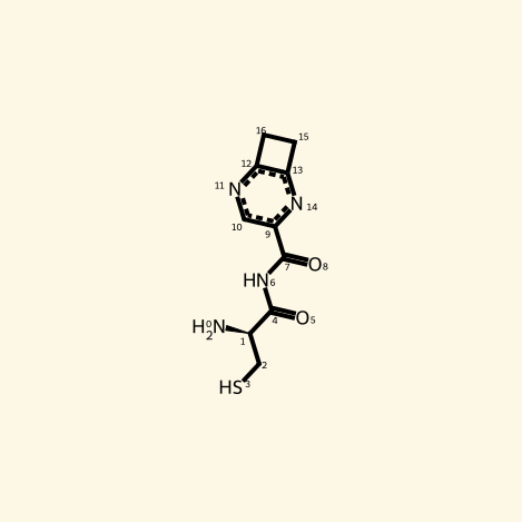 N[C@H](CS)C(=O)NC(=O)c1cnc2c(n1)CC2